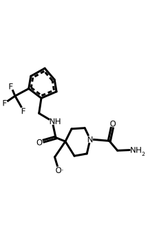 NCC(=O)N1CCC(C[O])(C(=O)NCc2ccccc2C(F)(F)F)CC1